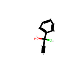 C#CC(O)(Cl)c1ccccc1